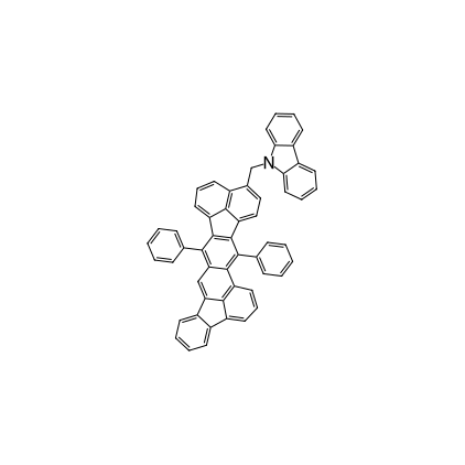 c1ccc(-c2c3cc4c5ccccc5c5cccc(c3c(-c3ccccc3)c3c6ccc(Cn7c8ccccc8c8ccccc87)c7cccc(c23)c76)c54)cc1